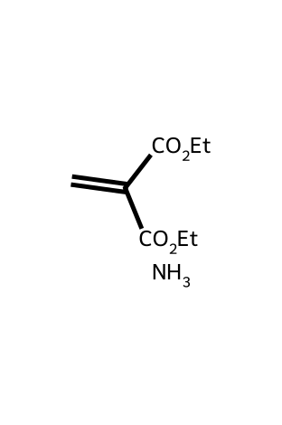 C=C(C(=O)OCC)C(=O)OCC.N